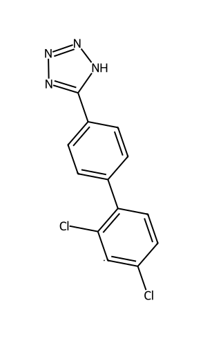 Clc1[c]c(Cl)c(-c2ccc(-c3nnn[nH]3)cc2)cc1